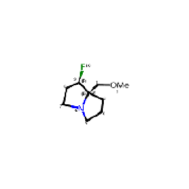 COC[C@@]12CCCN1CC[C@H]2F